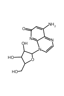 Nc1cc(=O)nc2n(C3OC(CO)C(O)C3O)ccnc1-2